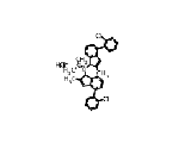 CC1=Cc2c(-c3ccccc3Cl)cccc2[CH]1[Zr]([CH]1C(C)=Cc2c(-c3ccccc3Cl)cccc21)=[Si](C)C.Cl.Cl